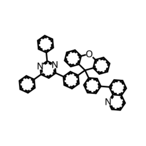 c1ccc(-c2cc(-c3cccc(C4(c5cccc(-c6cccc7cccnc67)c5)c5ccccc5Oc5ccccc54)c3)nc(-c3ccccc3)n2)cc1